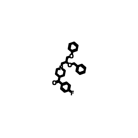 O=C(c1ccc(F)cc1)C1CCN(CC(COc2ccccc2)OCc2ccccc2)CC1